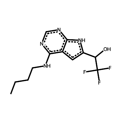 CCCCNc1ncnc2[nH]c(C(O)C(F)(F)F)cc12